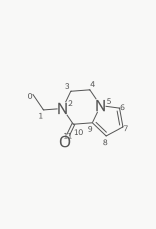 CCN1CCn2cccc2C1=O